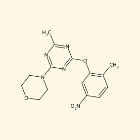 Cc1nc(Oc2cc([N+](=O)[O-])ccc2C)nc(N2CCOCC2)n1